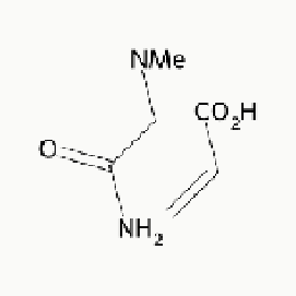 C=CC(=O)O.CNCC(N)=O